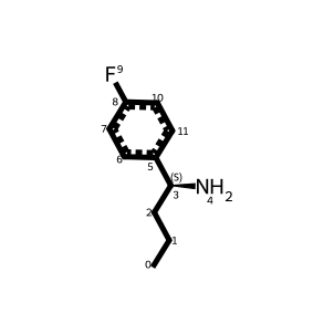 CCC[C@H](N)c1ccc(F)cc1